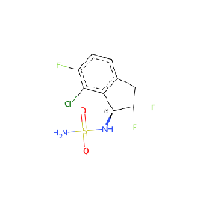 NS(=O)(=O)N[C@H]1c2c(ccc(F)c2Cl)CC1(F)F